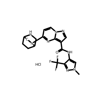 Cl.Cn1cc(NC(=O)c2cnn3ccc(N4CC5CCC4CN5)nc23)c(C(F)(F)F)n1